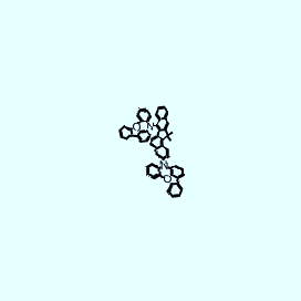 Cc1ccccc1N(c1ccc2c3c(ccc2c1)-c1c(cc2ccccc2c1N(c1ccccc1C)c1cccc2c1oc1ccccc12)C3(C)C)c1cccc2c1oc1ccccc12